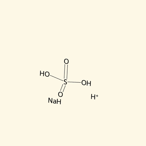 O=S(=O)(O)O.[H+].[NaH]